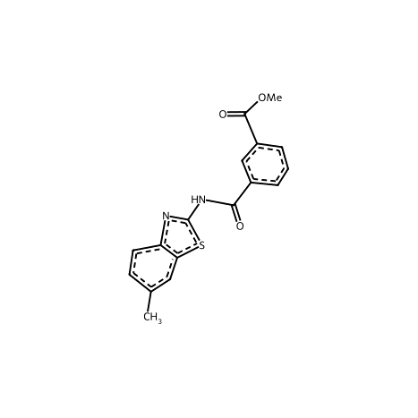 COC(=O)c1cccc(C(=O)Nc2nc3ccc(C)cc3s2)c1